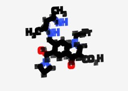 CC(=N)/C=C(/C)NCc1cc2c(cc1C(=O)N1CCC1)c(=O)c(C(=O)O)cn2CC(C)C